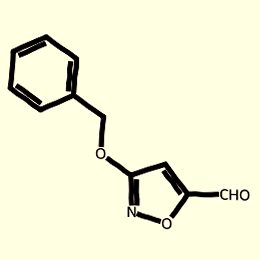 O=Cc1cc(OCc2ccccc2)no1